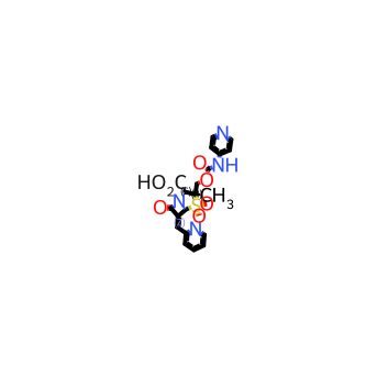 C[C@]1(COC(=O)Nc2ccncc2)[C@H](C(=O)O)N2C(=O)/C(=C/c3ccccn3)C2S1(=O)=O